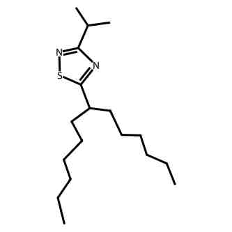 CCCCCCC(CCCCCC)c1nc(C(C)C)ns1